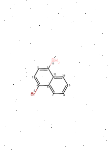 Bc1ccc(Br)c2ccccc12